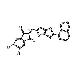 CCc1cc2c(cc1Cl)C(=O)/C(=C\c1cc3oc(-c4cccc5ccccc45)nc3s1)C2=O